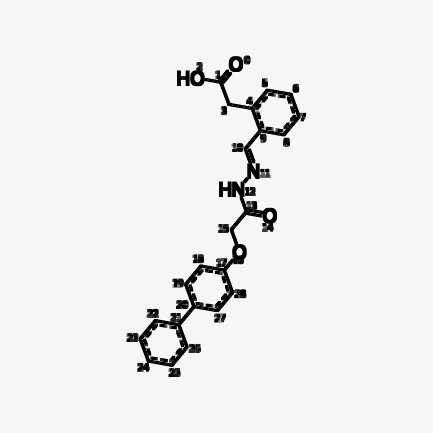 O=C(O)Cc1ccccc1C=NNC(=O)COc1ccc(-c2ccccc2)cc1